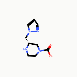 O=C(O)N1CCN[C@H](Cn2cccn2)C1